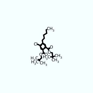 CCCCCCc1cc(C(=O)OCC(C)(C)C)c(C(=O)OCC(C)(C)C)cc1Cl